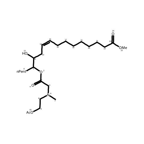 CCCCCC(OC(=O)CN(C)CCOC(C)=O)C(O)C/C=C\CCCCCCCC(=O)OC